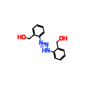 OCc1ccccc1/N=N/Nc1ccccc1CO